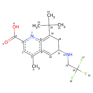 Cc1cc(C(=O)O)nc2c1=CC(NCC(F)(F)F)CC=2C(C)(C)C